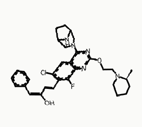 C[C@H]1CCCCN1CCOc1nc(N2CC3CCC(C2)N3)c2cc(Cl)c(/C=C/C(O)=C\c3ccccc3)c(F)c2n1